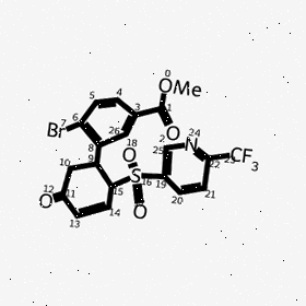 COC(=O)c1ccc(Br)c(C2CC(=O)C=CC2S(=O)(=O)c2ccc(C(F)(F)F)nc2)c1